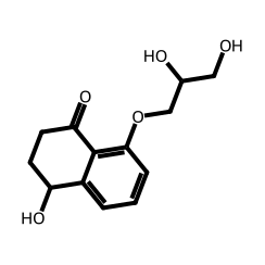 O=C1CCC(O)c2cccc(OCC(O)CO)c21